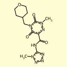 Cn1nnnc1NC(=O)c1nn(C)c(=O)n(CC2CCOCC2)c1=O